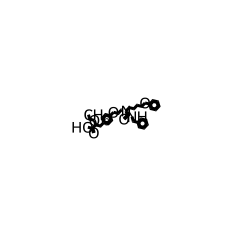 CCOC(Cc1ccc(OCCN(CCCCOc2ccccc2)C(=O)NCc2ccccc2)cc1)C(=O)O